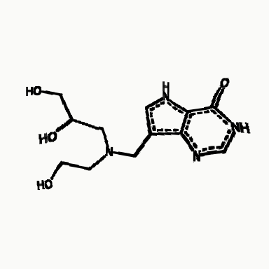 O=c1[nH]cnc2c(CN(CCO)CC(O)CO)c[nH]c12